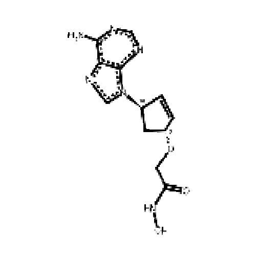 Nc1ncnc2c1ncn2[C@H]1C=C[C@H](OCC(=O)NO)C1